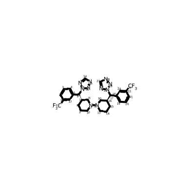 FC(F)(F)c1cccc(C([C@H]2CCCN(N3CCC[C@H](C(c4cccc(C(F)(F)F)c4)n4ncnn4)C3)C2)n2ncnn2)c1